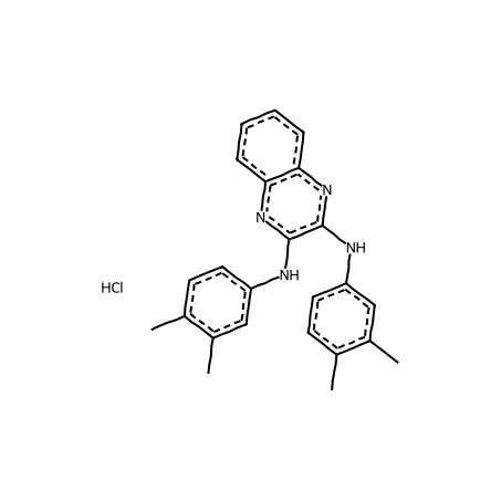 Cc1ccc(Nc2nc3ccccc3nc2Nc2ccc(C)c(C)c2)cc1C.Cl